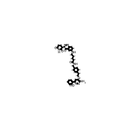 Nc1nnc(-c2ccccc2O)cc1OCCc1ccc(CNC(=O)CCCCNc2ccc3nnn(C4CCC(=O)NC4=O)c(=O)c3c2)cc1